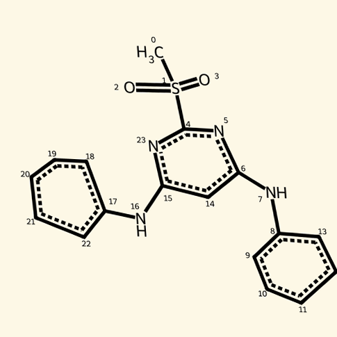 CS(=O)(=O)c1nc(Nc2ccccc2)cc(Nc2ccccc2)n1